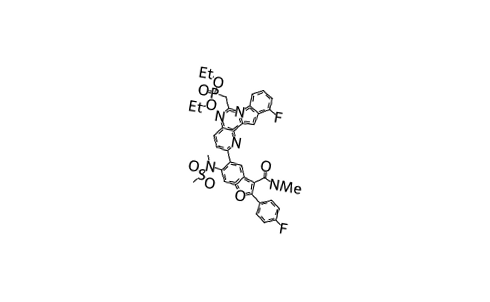 CCOP(=O)(Cc1nc2ccc(-c3cc4c(C(=O)NC)c(-c5ccc(F)cc5)oc4cc3N(C)S(C)(=O)=O)nc2c2cc3c(F)cccc3n12)OCC